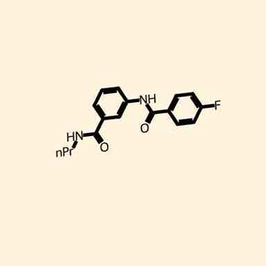 CCCNC(=O)c1cccc(NC(=O)c2ccc(F)cc2)c1